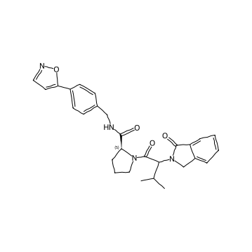 CC(C)C(C(=O)N1CCC[C@H]1C(=O)NCc1ccc(-c2ccno2)cc1)N1Cc2ccccc2C1=O